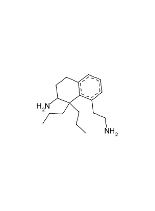 CCCC1(CCC)c2c(CCN)cccc2CCC1N